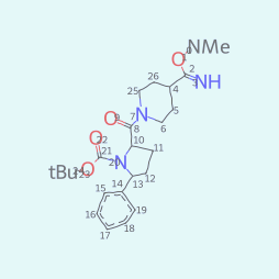 CNOC(=N)C1CCN(C(=O)C2CCC(c3ccccc3)N2C(=O)OC(C)(C)C)CC1